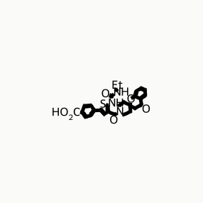 CCNC(=O)Nc1sc(-c2ccc(C(=O)O)cc2)cc1C(=O)N1CCC2(CC1)CC(=O)c1ccccc1O2